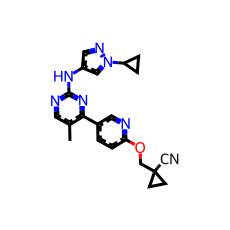 Cc1cnc(Nc2cnn(C3CC3)c2)nc1-c1ccc(OCC2(C#N)CC2)nc1